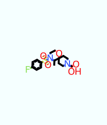 CC1N(S(=O)(=O)c2ccc(F)cc2)CCOC12CCN(C(=O)O)CC2